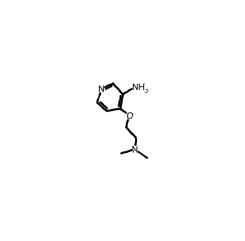 CN(C)CCOc1ccncc1N